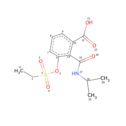 CCS(=O)(=O)Oc1cccc(C(=O)O)c1C(=O)NC(C)C